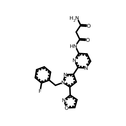 NC(=O)CC(=O)Nc1ccnc(-c2cc(-c3ccon3)n(Cc3ccccc3F)n2)n1